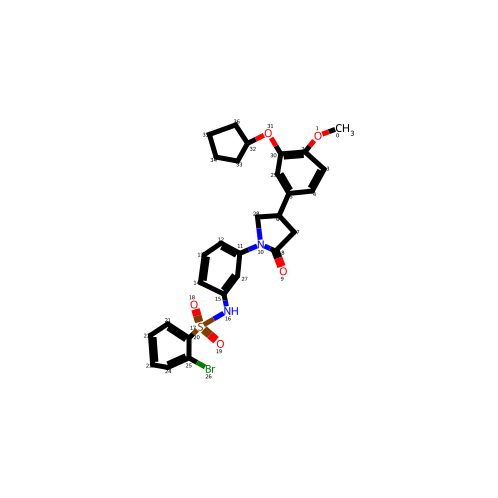 COc1ccc(C2CC(=O)N(c3cccc(NS(=O)(=O)c4ccccc4Br)c3)C2)cc1OC1CCCC1